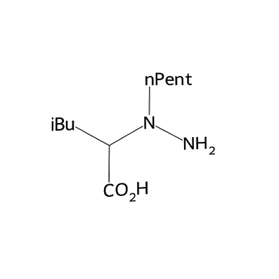 CCCCCN(N)C(C(=O)O)C(C)CC